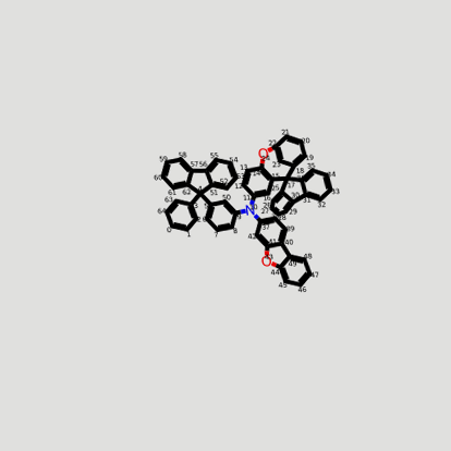 c1ccc(C2(c3cccc(N(c4ccc5c(c4)C4(c6cccc(c6)O5)c5ccccc5-c5ccccc54)c4ccc5c(c4)oc4ccccc45)c3)c3ccccc3-c3ccccc32)cc1